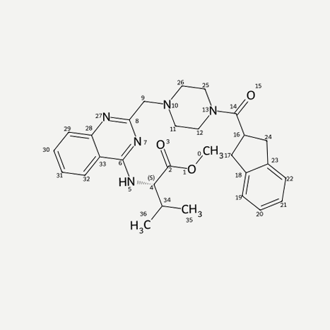 COC(=O)[C@@H](Nc1nc(CN2CCN(C(=O)C3Cc4ccccc4C3)CC2)nc2ccccc12)C(C)C